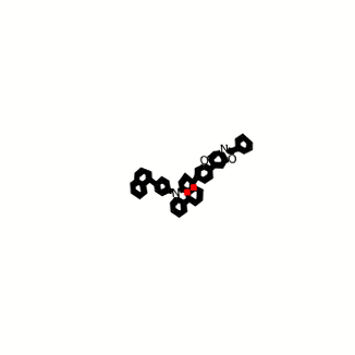 c1ccc(-c2nc3cc4oc5cc(-c6ccc(N(c7ccc(-c8cccc9ccccc89)cc7)c7ccccc7-c7ccccc7)cc6)ccc5c4cc3o2)cc1